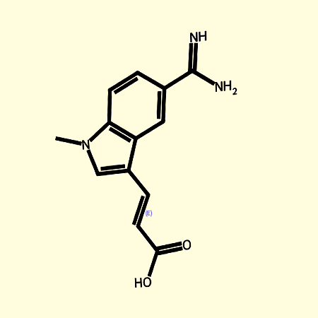 Cn1cc(/C=C/C(=O)O)c2cc(C(=N)N)ccc21